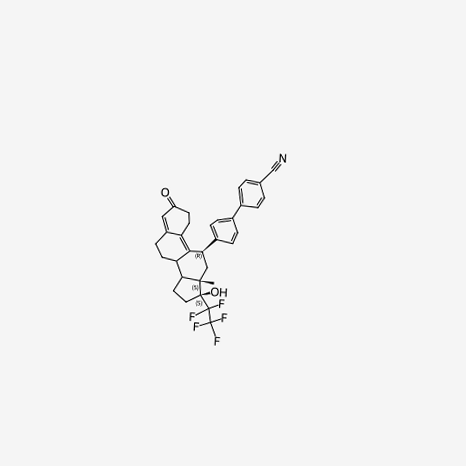 C[C@]12C[C@H](c3ccc(-c4ccc(C#N)cc4)cc3)C3=C4CCC(=O)C=C4CCC3C1CC[C@@]2(O)C(F)(F)C(F)(F)F